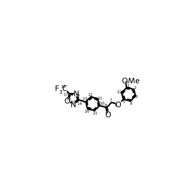 COc1cccc(OCC(=O)c2ccc(-c3noc(C(F)(F)F)n3)cc2)c1